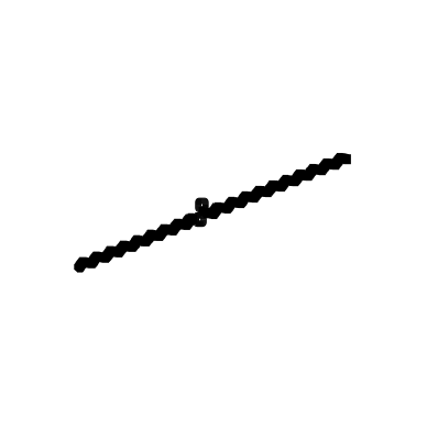 CCCCCCCCCCCCCCCCC=COC(=O)C=CCCCCCCCCCCCCCCCCCCC